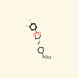 CCCCCCCC[C@H]1CC[C@H](CC[C@H]2CO[C@H](c3ccc(F)c(F)c3)OC2)CC1